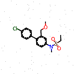 CCS(=O)(=O)N(C)c1ccc(-c2ccc(Cl)cc2)c(COC)c1